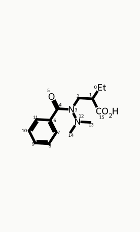 CCC(CN(C(=O)c1ccccc1)N(C)C)C(=O)O